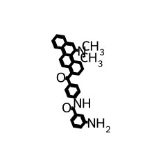 CN(C)C1C=c2ccccc2=c2ccc3c(c21)CCCC=3C(=O)c1ccc(NC(=O)c2cccc(N)c2)cc1